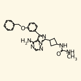 CNC(=O)NC1CC(c2nc(-c3cccc(OCc4ccccc4)c3)c3c(N)ncnn23)C1